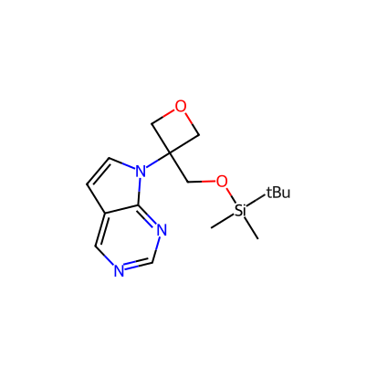 CC(C)(C)[Si](C)(C)OCC1(n2ccc3cncnc32)COC1